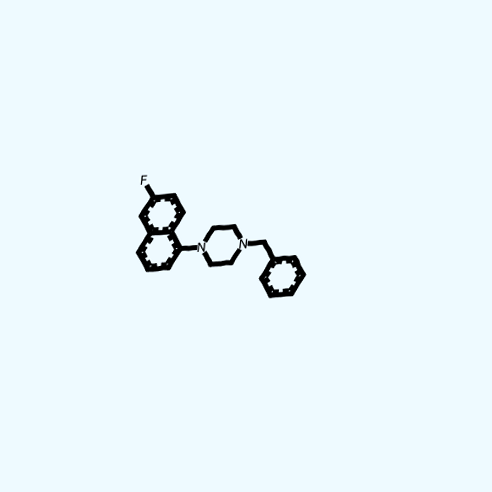 Fc1ccc2c(N3CCN(Cc4ccccc4)CC3)cccc2c1